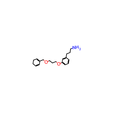 NCCCc1cccc(OCCCOCC2=CCCC=C2)c1